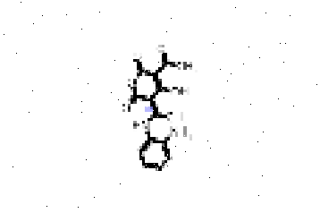 CC(=O)C1=C(O)/C(=C(\C)Nc2ccccc2N)C(=O)OC1=O